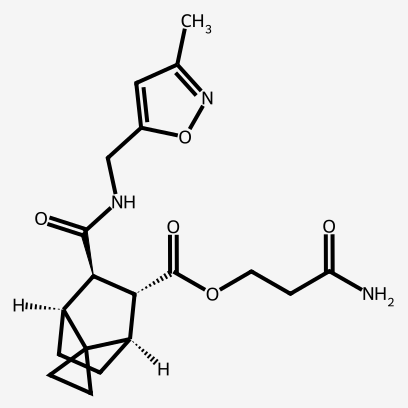 Cc1cc(CNC(=O)[C@H]2[C@H](C(=O)OCCC(N)=O)[C@H]3CC[C@@H]2C32CC2)on1